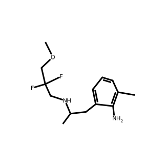 COCC(F)(F)CNC(C)Cc1cccc(C)c1N